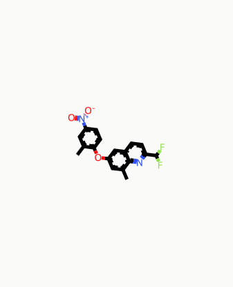 Cc1cc([N+](=O)[O-])ccc1Oc1cc(C)c2nc(C(F)F)ccc2c1